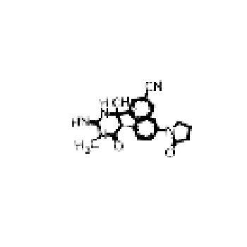 CN1C(=N)N[C@](C)(c2cccc(C#N)c2)[C@H](c2ccc(N3CCCC3=O)cc2)C1=O